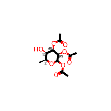 CC(=O)OC1O[C@@H](C)[C@H](O)[C@@H](OC(C)=O)[C@H]1OC(C)=O